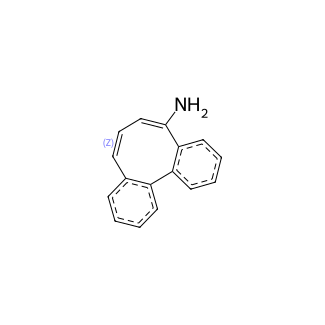 NC1=C/C=C\c2ccccc2-c2ccccc21